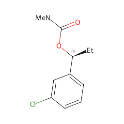 CC[C@H](OC(=O)NC)c1cccc(Cl)c1